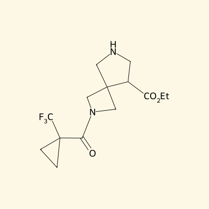 CCOC(=O)C1CNCC12CN(C(=O)C1(C(F)(F)F)CC1)C2